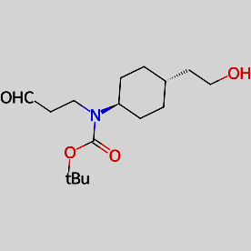 CC(C)(C)OC(=O)N(CCC=O)[C@H]1CC[C@H](CCO)CC1